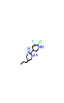 CCCC1CNC(C2CNC(Cl)C(F)C2)NC1